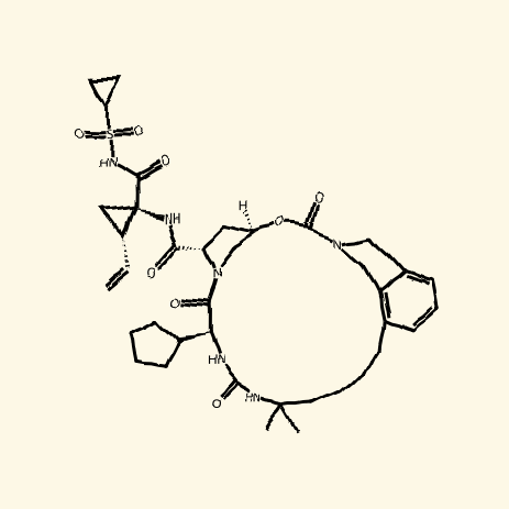 C=C[C@@H]1C[C@]1(NC(=O)[C@@H]1C[C@@H]2CN1C(=O)[C@H](C1CCCC1)NC(=O)NC(C)(C)CCCCc1cccc3c1CN(C3)C(=O)O2)C(=O)NS(=O)(=O)C1CC1